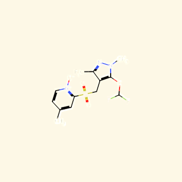 Cc1cc[n+]([O-])c(S(=O)(=O)Cc2c(C(F)(F)F)nn(C)c2OC(F)F)c1